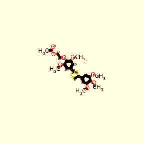 COc1cc(C2CSC(c3cc(OC)c(OCCOC(C)=O)c(OC)c3)S2)cc(OC)c1OC